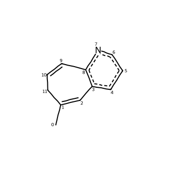 CC1=Cc2cccnc2C=CC1